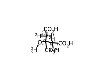 [2H]OC(C(=O)O)(C([2H])([2H])C(=O)O)C([2H])([2H])C(=O)O